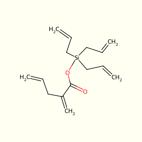 C=CCC(=C)C(=O)O[Si](CC=C)(CC=C)CC=C